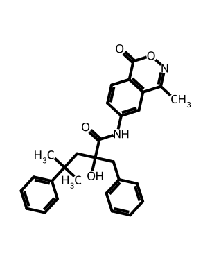 Cc1noc(=O)c2ccc(NC(=O)C(O)(Cc3ccccc3)CC(C)(C)c3ccccc3)cc12